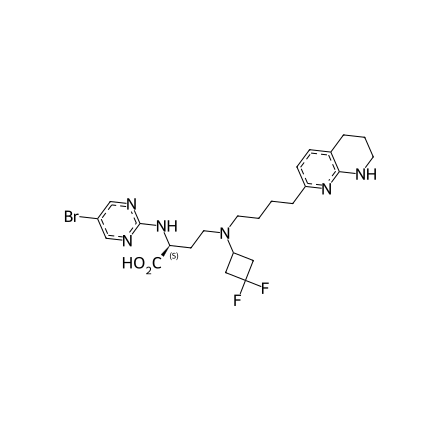 O=C(O)[C@H](CCN(CCCCc1ccc2c(n1)NCCC2)C1CC(F)(F)C1)Nc1ncc(Br)cn1